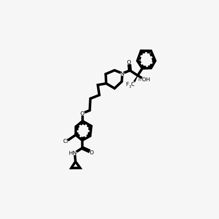 O=C(NC1CC1)c1ccc(OCCCCC2CCN(C(=O)[C@@](O)(c3ccccc3)C(F)(F)F)CC2)cc1Cl